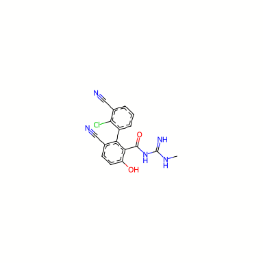 CNC(=N)NC(=O)c1c(O)ccc(C#N)c1-c1cccc(C#N)c1Cl